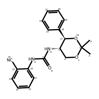 CC1(C)OC[C@H](NC(=O)Nc2ccccc2C#N)[C@@H](c2ccccc2)O1